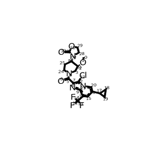 CO[C@H]1CN(C(=O)c2nc3c(C(F)(F)F)cc(C4CC4)cn3c2Cl)CC[C@@H]1N1CCOC1=O